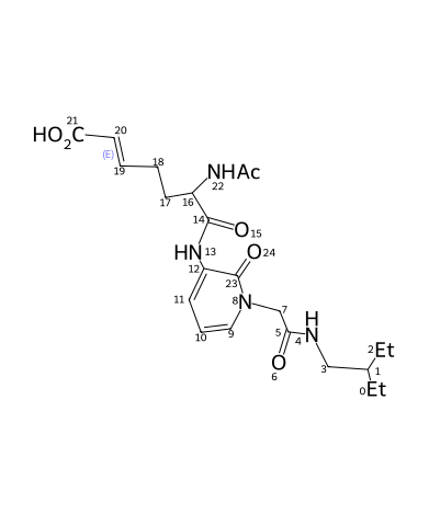 CCC(CC)CNC(=O)Cn1cccc(NC(=O)C(CC/C=C/C(=O)O)NC(C)=O)c1=O